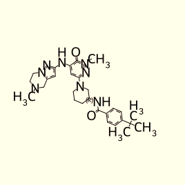 CN1CCn2nc(Nc3cc(N4CCC[C@@H](NC(=O)c5ccc(C(C)(C)C)cc5)C4)nn(C)c3=O)cc2C1